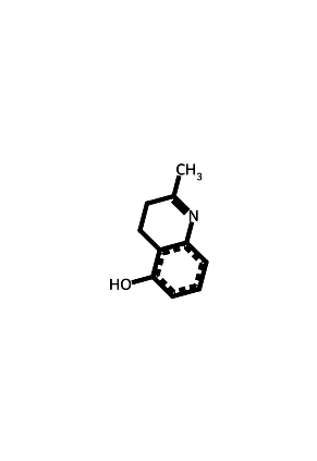 CC1=Nc2cccc(O)c2CC1